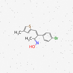 CC(=NO)C(=Cc1cc(C)cs1)c1ccc(Br)cc1